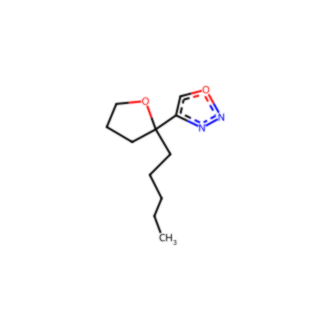 CCCCCC1(c2conn2)CCCO1